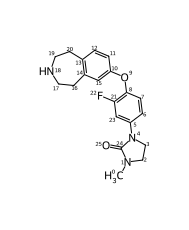 CN1CCN(c2ccc(Oc3ccc4c(c3)CCNCC4)c(F)c2)C1=O